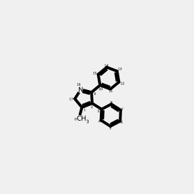 CC1=C(c2ccccc2)C(c2ccccc2)=NC1